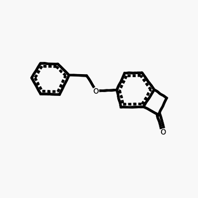 O=C1Cc2ccc(OCc3ccccc3)cc21